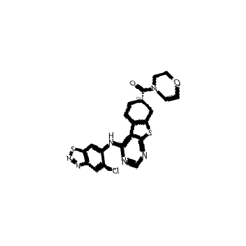 O=C([C@H]1CCc2c(sc3ncnc(Nc4cc5snnc5cc4Cl)c23)C1)N1CCOCC1